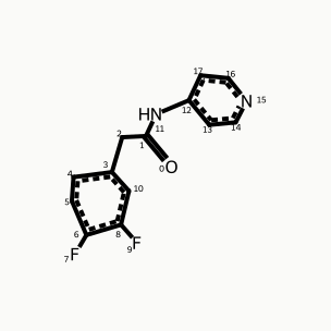 O=C(Cc1ccc(F)c(F)c1)Nc1ccncc1